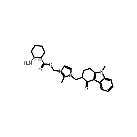 Cc1n(CC2CCc3c(c4ccccc4n3C)C2=O)cc[n+]1COC(=O)[C@@H]1CCCC[C@H]1N